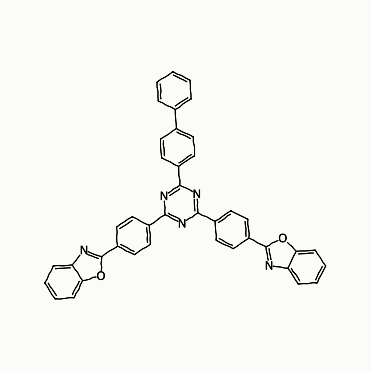 c1ccc(-c2ccc(-c3nc(-c4ccc(-c5nc6ccccc6o5)cc4)nc(-c4ccc(-c5nc6ccccc6o5)cc4)n3)cc2)cc1